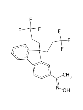 C/C(=N\O)c1ccc2c(c1)C(CCC(F)(F)F)(CCC(F)(F)F)c1ccccc1-2